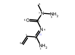 C=C/C(N)=N\C(=O)N(C)N